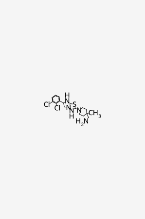 CC1(CN)CCN(C2NN3CC(c4cccc(Cl)c4Cl)NC3S2)CC1